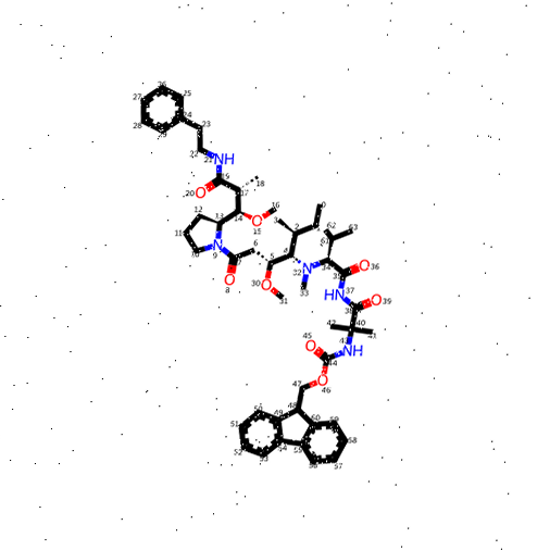 CC[C@H](C)[C@@H]([C@@H](CC(=O)N1CCC[C@H]1[C@H](OC)[C@@H](C)C(=O)NCCc1ccccc1)OC)N(C)[C@H](C(=O)NC(=O)C(C)(C)NC(=O)OCC1c2ccccc2-c2ccccc21)C(C)C